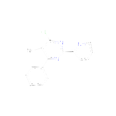 N#Cc1c(Cl)nc(-c2ccccn2)nc1-c1ccccc1